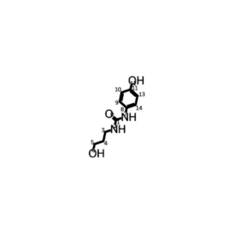 O=C(NCCCO)Nc1ccc(O)cc1